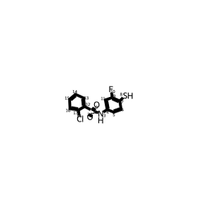 O=S(=O)(Nc1ccc(S)c(F)c1)c1ccccc1Cl